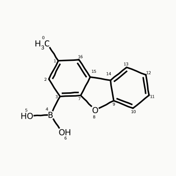 Cc1cc(B(O)O)c2oc3ccccc3c2c1